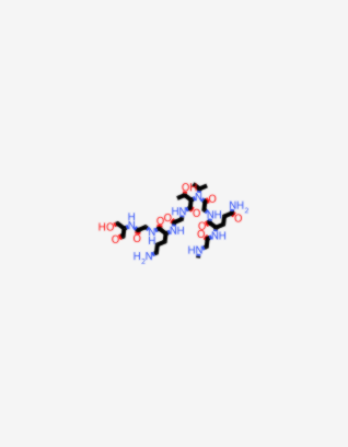 CNCC(=O)NC(CCC(N)=O)C(=O)NCC(=O)N(C(C)C)C(C(=O)NCC(=O)NC(CCCN)C(=O)NCC(=O)NC(C=O)CO)C(C)O